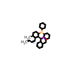 C=C/C=C\c1c(C)ccc(P(c2ccccc2)c2ccccc2)c1-c1nccc2ccccc12